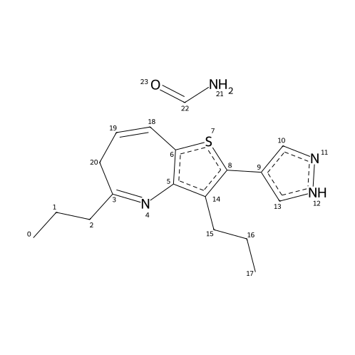 CCCC1=Nc2c(sc(-c3cn[nH]c3)c2CCC)C=CC1.NC=O